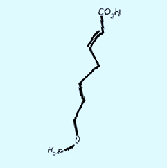 O=C(O)C=CCCCCOP